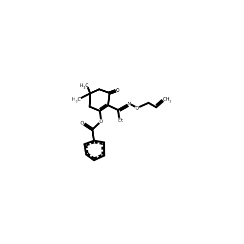 C=CCON=C(CC)C1=C(OC(=O)c2ccccc2)CC(C)(C)CC1=O